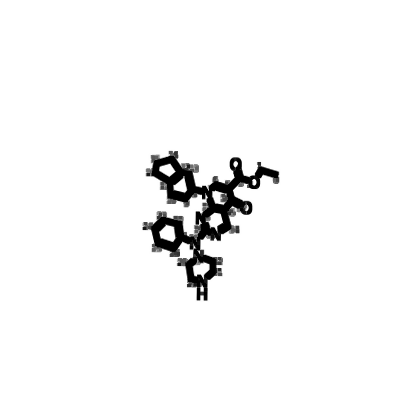 CCOC(=O)c1cn(-c2ccc3c(c2)CCC3)c2nc(N(c3ccccc3)N3CCNCC3)ncc2c1=O